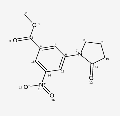 COC(=O)c1cc(N2CCCC2=O)cc([N+](=O)[O-])c1